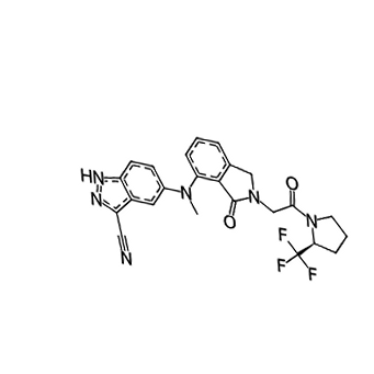 CN(c1ccc2[nH]nc(C#N)c2c1)c1cccc2c1C(=O)N(CC(=O)N1CCC[C@H]1C(F)(F)F)C2